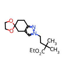 CCOC(=O)C(C)(C)CCn1cc2c(n1)CCC1(C2)OCCO1